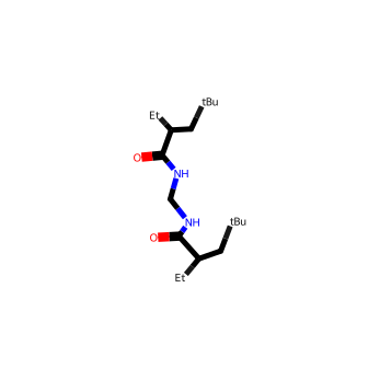 CCC(CC(C)(C)C)C(=O)NCNC(=O)C(CC)CC(C)(C)C